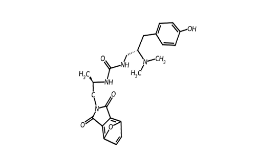 C[C@H](CN1C(=O)c2c(c3ccc2o3)C1=O)NC(=O)NC[C@H](Cc1ccc(O)cc1)N(C)C